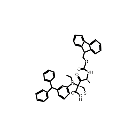 CCN(c1cccc(C(c2ccccc2)c2ccccc2)c1)[C@@](CS)(C(=O)O)C(=O)[C@H](C)NC(=O)OCC1c2ccccc2-c2ccccc21